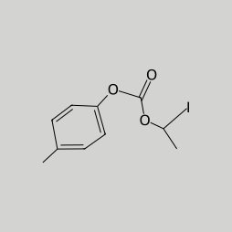 Cc1ccc(OC(=O)OC(C)I)cc1